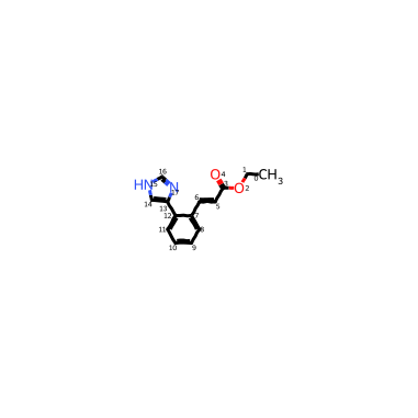 CCOC(=O)/C=C/c1ccccc1-c1c[nH]cn1